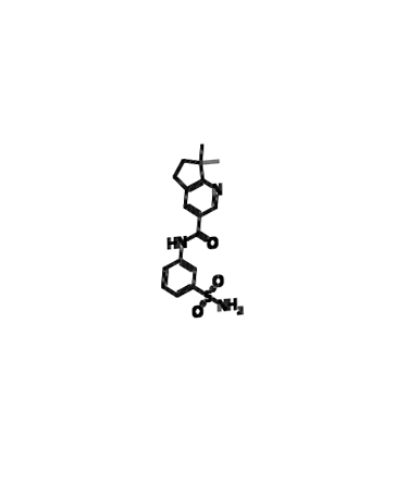 CC1(C)CCc2cc(C(=O)Nc3cccc(S(N)(=O)=O)c3)cnc21